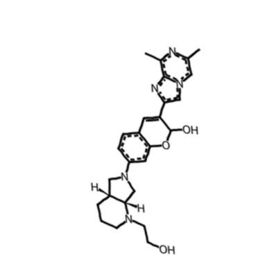 Cc1cn2cc(C3=Cc4ccc(N5C[C@H]6CCCN(CCO)[C@H]6C5)cc4OC3O)nc2c(C)n1